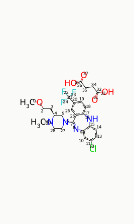 COCC[C@H]1CN(C2=Nc3cc(Cl)ccc3Nc3ccc(C(F)(F)F)cc32)CCN1C.O=C(O)CCC(=O)O